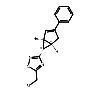 ClCc1nc([C@@H]2[C@H]3C=C(c4ccccc4)C[C@H]32)no1